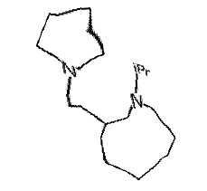 CC(C)N1CCCCC1CN1CCCC1